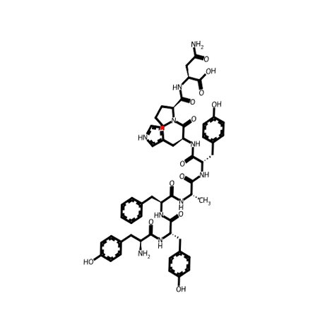 C[C@H](NC(=O)[C@H](Cc1ccccc1)NC(=O)[C@H](Cc1ccc(O)cc1)NC(=O)[C@@H](N)Cc1ccc(O)cc1)C(=O)N[C@@H](Cc1ccc(O)cc1)C(=O)N[C@@H](Cc1c[nH]cn1)C(=O)N1CCC[C@H]1C(=O)N[C@@H](CC(N)=O)C(=O)O